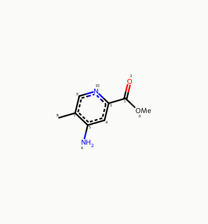 COC(=O)c1cc(N)c(C)cn1